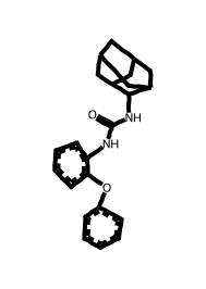 O=C(Nc1ccccc1Oc1ccccc1)NC1C2CC3CC(C2)CC1C3